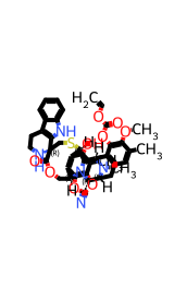 C=COC(=O)Oc1c(OC)c(C)cc2c1[C@@H]1C3[C@@H]4SC[C@]5(NCCc6c5[nH]c5ccccc65)C(=O)OC[C@@H](c5c6c(c(C)c(O)c54)OCO6)N3[C@@H](C#N)[C@H](C2)N1C